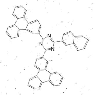 c1ccc2cc(-c3nc(-c4ccc5c6ccccc6c6ccccc6c5c4)nc(-c4ccc5c6ccccc6c6ccccc6c5c4)n3)ccc2c1